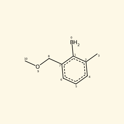 Bc1c(C)cccc1COC